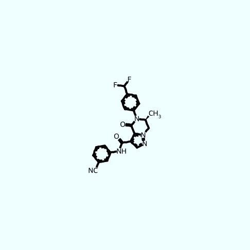 C[C@H]1Cn2ncc(C(=O)Nc3cccc(C#N)c3)c2C(=O)N1c1ccc(C(F)F)cc1